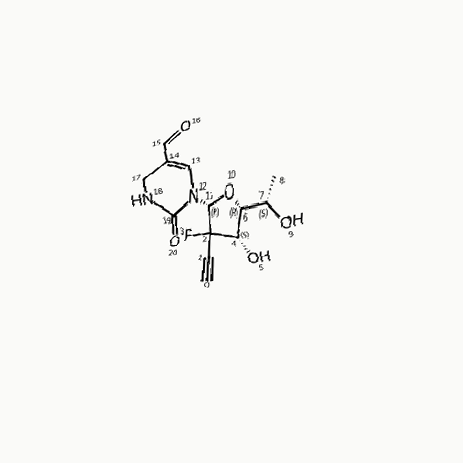 C#CC1(F)[C@@H](O)[C@@H]([C@H](C)O)O[C@H]1N1C=C(C=O)CNC1=O